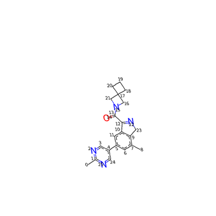 Cc1ncc(-c2cc(C)c3c(c2)C(C(=O)N2CC4(CCC4)C2)=NC3)cn1